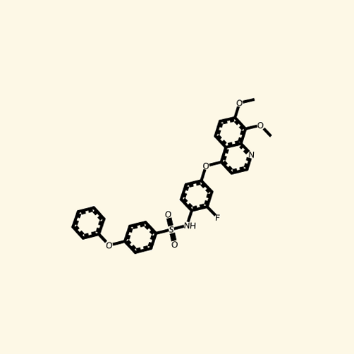 COc1ccc2c(Oc3ccc(NS(=O)(=O)c4ccc(Oc5ccccc5)cc4)c(F)c3)ccnc2c1OC